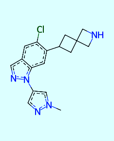 Cn1cc(-n2ncc3cc(Cl)c(C4CC5(CNC5)C4)cc32)cn1